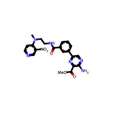 COC(=O)c1nc(-c2cccc(C(=O)NCCN(C)c3ccncc3[N+](=O)[O-])c2)cnc1N